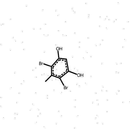 Cc1c(Br)c(O)cc(O)c1Br